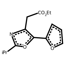 CCOC(=O)Cc1nc(C(C)C)oc1-c1ccco1